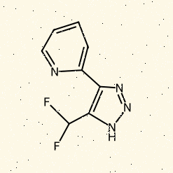 FC(F)c1[nH]nnc1-c1ccccn1